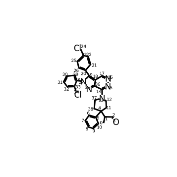 CC(C=O)C1(c2ccccc2)CCN(c2nncc3c(-c4ccc(Cl)cc4)n(-c4ccccc4Cl)nc23)CC1